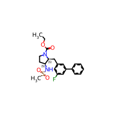 CCOC(=O)N1CC[C@H](NS(C)(=O)=O)[C@@H]1Cc1cc(F)cc(-c2ccccc2)c1